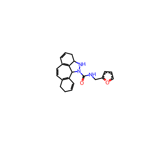 O=C(NCc1ccco1)N1NC2CC=CC3=C2C1C1=C(C=C3)CCC=C1